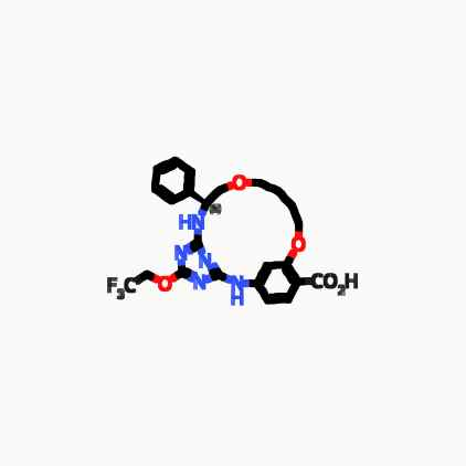 O=C(O)c1ccc2cc1OCCCCOC[C@H](c1ccccc1)Nc1nc(nc(OCC(F)(F)F)n1)N2